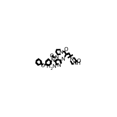 CC(C)(C=C(C#N)C(=O)N1CCC[C@@H](n2c(=O)n(-c3ccc(Oc4ccccc4)cc3)c3c(N)nccc32)C1)N1CCNC(=O)C1